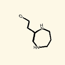 [O]CCC1CNCCCN1